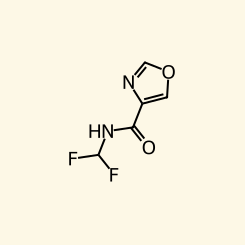 O=C(NC(F)F)c1cocn1